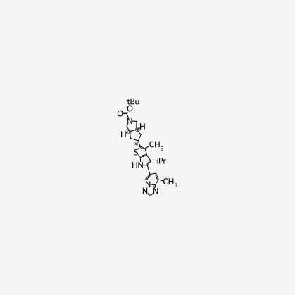 Cc1c([C@H]2C[C@@H]3CN(C(=O)OC(C)(C)C)C[C@@H]3C2)sc2[nH]c(-c3cc(C)c4ncnn4c3)c(C(C)C)c12